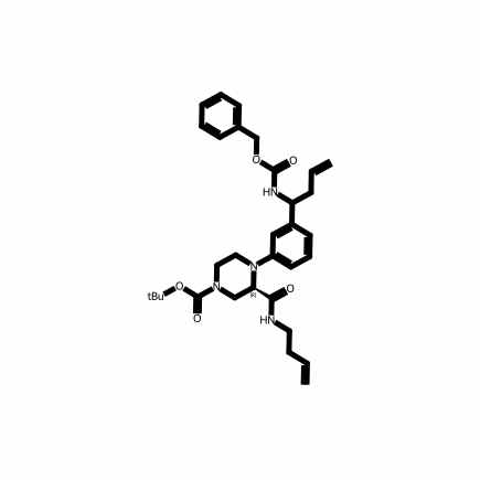 C=CCCNC(=O)[C@H]1CN(C(=O)OC(C)(C)C)CCN1c1cccc(C(CC=C)NC(=O)OCc2ccccc2)c1